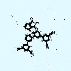 CN1C(=O)c2cccc(-n3c4ccc(-c5cc(C#N)cc(C#N)c5)cc4c4cc(-c5cc(C#N)cc(C#N)c5)ccc43)c2C1=O